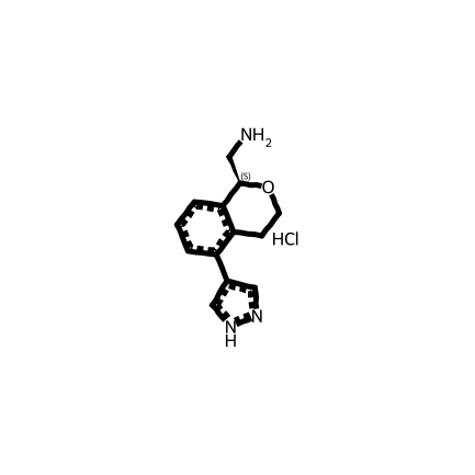 Cl.NC[C@H]1OCCc2c(-c3cn[nH]c3)cccc21